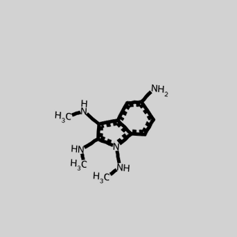 CNc1c(NC)n(NC)c2ccc(N)cc12